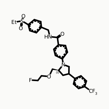 CCS(=O)(=O)c1ccc(CNC(=O)c2ccc(N3CC(c4ccc(C(F)(F)F)cc4)C[C@H]3COCCF)cc2)cc1